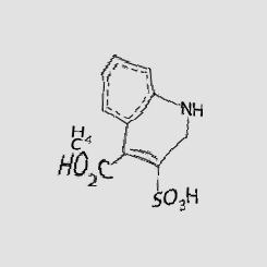 C.O=C(O)C1=C(S(=O)(=O)O)CNc2ccccc21